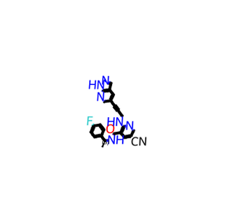 C[C@H](NC(=O)c1cc(C#N)cnc1NCC#Cc1cnc2[nH]ncc2c1)c1ccc(F)cc1